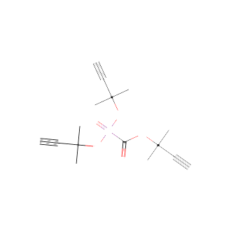 C#CC(C)(C)OC(=O)P(=O)(OC(C)(C)C#C)OC(C)(C)C#C